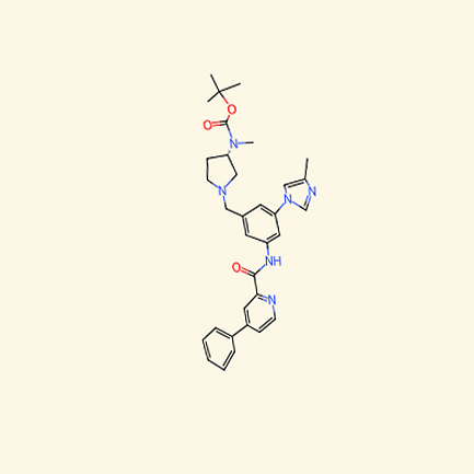 Cc1cn(-c2cc(CN3CC[C@H](N(C)C(=O)OC(C)(C)C)C3)cc(NC(=O)c3cc(-c4ccccc4)ccn3)c2)cn1